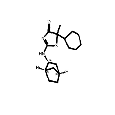 CC1(C2CCCCC2)SC(N[C@H]2C[C@@H]3CC[C@H]2C3)=NC1=O